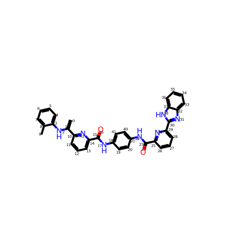 C=C(Nc1ccccc1C)c1cccc(C(=O)Nc2ccc(NC(=O)c3cccc(-c4nc5ccccc5[nH]4)n3)cc2)n1